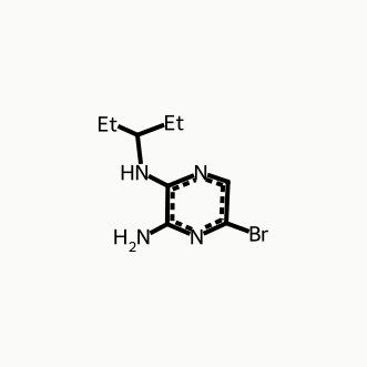 CCC(CC)Nc1ncc(Br)nc1N